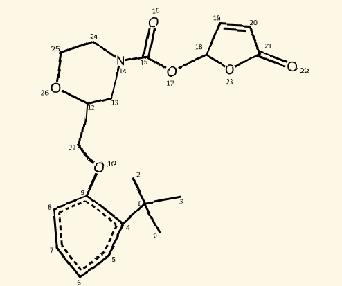 CC(C)(C)c1ccccc1OCC1CN(C(=O)OC2C=CC(=O)O2)CCO1